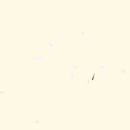 COc1cc(OC)c(F)c(C#Cc2nn(C3CCN(C(=O)O)[C@H]3C(C)(C)C)c3c(CN4CCOCC4)cnc(N)c23)c1F